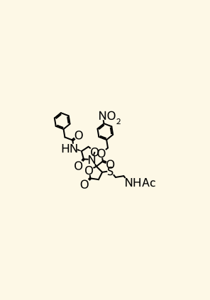 CC(=O)NCCSC1CC(=O)OC1(C(=O)OCc1ccc([N+](=O)[O-])cc1)N1OC[C@H](NC(=O)Cc2ccccc2)C1=O